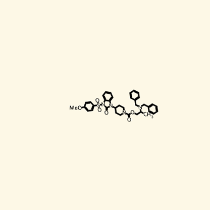 COc1ccc(S(=O)(=O)n2c(=O)n(C3CCN(C(=O)OCC(C)N(Cc4ccccc4)Cc4ccccc4)CC3)c3ccccc32)cc1